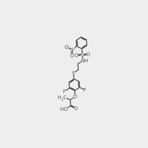 CC(Oc1c(F)cc(SCCNS(=O)(=O)c2ccccc2[N+](=O)[O-])cc1F)C(=O)O